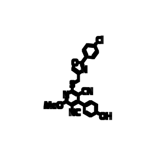 [C-]#[N+]c1c(OC)nc(SCc2coc(-c3ccc(Cl)cc3)n2)c(C#N)c1-c1ccc(O)cc1